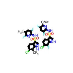 COc1nc(NS(=O)(=O)c2c[nH]c3c(F)c(Cl)ccc23)c(F)cc1F.Cc1cc(F)c(NS(=O)(=O)c2c[nH]c3c(C(F)(F)F)c(Cl)ccc23)nc1F